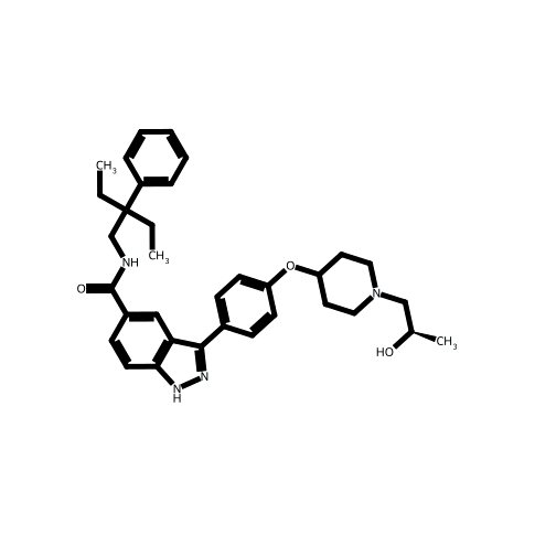 CCC(CC)(CNC(=O)c1ccc2[nH]nc(-c3ccc(OC4CCN(C[C@@H](C)O)CC4)cc3)c2c1)c1ccccc1